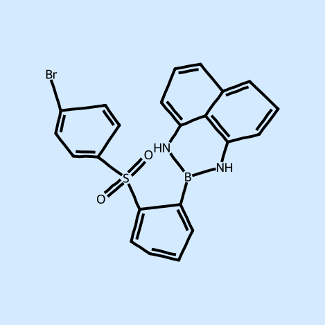 O=S(=O)(c1ccc(Br)cc1)c1ccccc1B1Nc2cccc3cccc(c23)N1